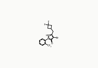 O=c1c(Br)c(CC2CC(F)(F)C2)[nH]n1-c1ccccc1C(F)(F)F